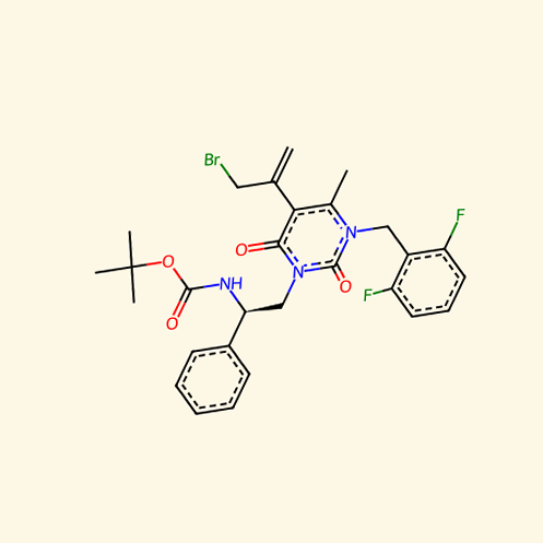 C=C(CBr)c1c(C)n(Cc2c(F)cccc2F)c(=O)n(C[C@H](NC(=O)OC(C)(C)C)c2ccccc2)c1=O